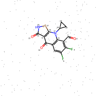 O=Cc1c(F)c(F)cc2c(=O)c3c(=O)[nH]sc3n(C3CC3)c12